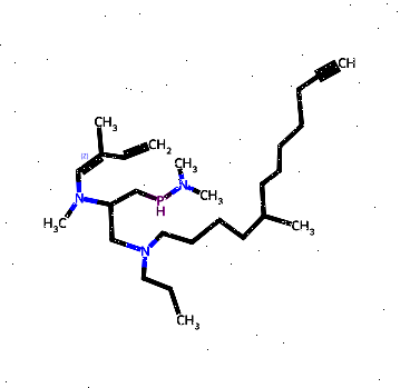 C#CCCCCCC(C)CCCCN(CCC)CC(CPN(C)C)N(C)/C=C(/C)C=C